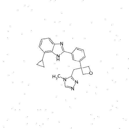 Cn1cnnc1CC1(c2cccc(-c3nc4cccc(C5CC5)c4[nH]3)c2)COC1